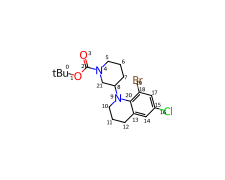 CC(C)(C)OC(=O)N1CCCC(N2CCCc3cc(Cl)cc(Br)c32)C1